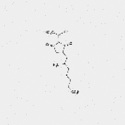 CC(C)C(C(=O)O)N1C(=O)C=C(CC(N)CCCCC(=O)O)C1=O